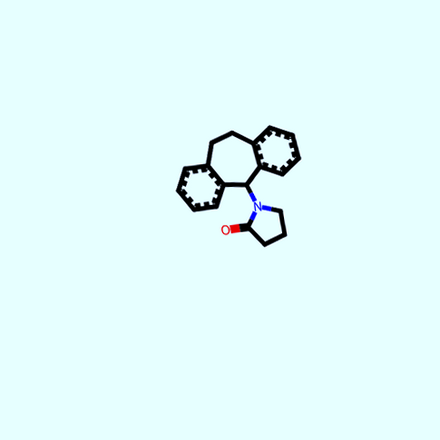 O=C1CCCN1C1c2ccccc2CCc2ccccc21